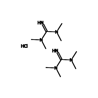 CN(C)C(=N)N(C)C.CN(C)C(=N)N(C)C.Cl